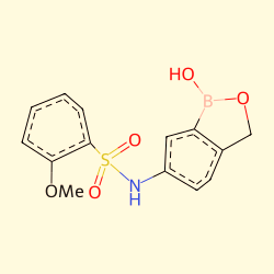 COc1ccccc1S(=O)(=O)Nc1ccc2c(c1)B(O)OC2